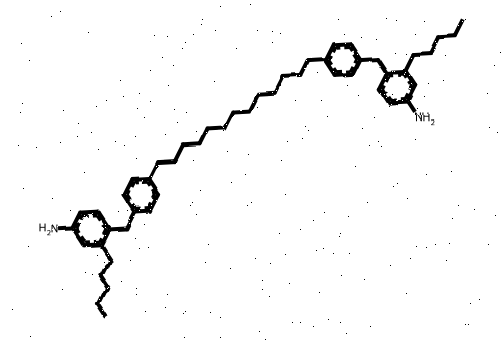 CCCCCc1cc(N)ccc1Cc1ccc(CCCCCCCCCCCCCc2ccc(Cc3ccc(N)cc3CCCCC)cc2)cc1